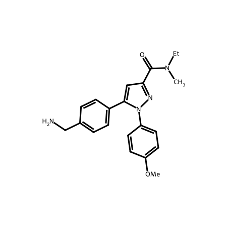 CCN(C)C(=O)c1cc(-c2ccc(CN)cc2)n(-c2ccc(OC)cc2)n1